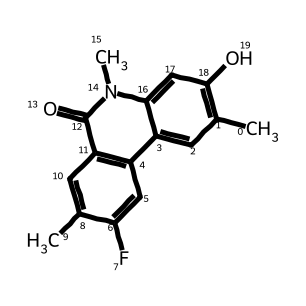 Cc1cc2c3cc(F)c(C)cc3c(=O)n(C)c2cc1O